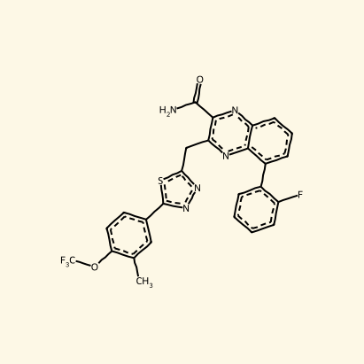 Cc1cc(-c2nnc(Cc3nc4c(-c5ccccc5F)cccc4nc3C(N)=O)s2)ccc1OC(F)(F)F